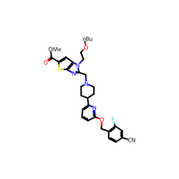 CCCCOCCn1c(CN2CCC(c3cccc(OCc4ccc(C#N)cc4F)n3)CC2)nc2sc(C(=O)OC)cc21